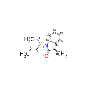 C=C/C=C(\C=C)N1C(=O)C(=C)c2ccccc21